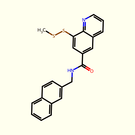 CSSc1cc(C(=O)NCc2ccc3ccccc3c2)cc2cccnc12